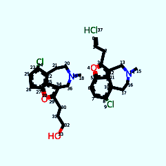 C=CCc1oc2ccc(Cl)c3c2c1CN(C)CC3.CN1CCc2c(Cl)ccc3oc(CCCO)c(c23)C1.Cl